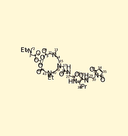 CCN(C)CC(=O)OC1OC(=O)CN(C)CCN(CC(=O)NCC(=O)NC(C(=O)NCCN2C(=O)C=CC2=O)C(C)C)CCN(CC)CC(=O)O1